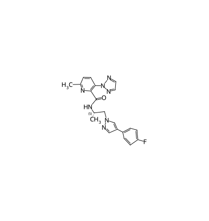 Cc1ccc(-n2nccn2)c(C(=O)N[C@@H](C)Cn2cc(-c3ccc(F)cc3)cn2)n1